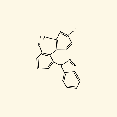 Cc1cc(Cl)ccc1-c1c(F)cccc1-n1nnc2ccccc21